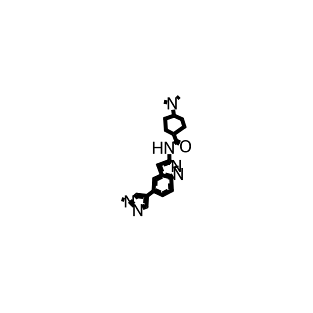 CN(C)C1CCC(C(=O)Nc2cc3cc(-c4cnn(C)c4)ccc3nn2)CC1